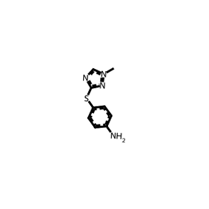 Cn1cnc(Sc2ccc(N)cc2)n1